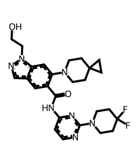 O=C(Nc1ccnc(N2CCC(F)(F)CC2)n1)c1cc2cnn(CCO)c2cc1N1CCC2(CC1)CC2